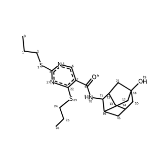 CCCSc1ncc(C(=O)NC2C3CC4CC2CC(O)(C4)C3)c(SCCC)n1